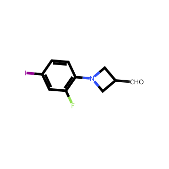 O=CC1CN(c2ccc(I)cc2F)C1